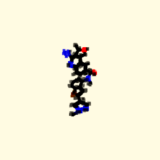 CC1OCc2c1c(N)nc1ccc(C(=O)N(C)C3CCCc4sc(-c5cnn(C)c5)cc43)cc21